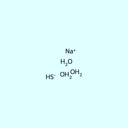 O.O.O.[Na+].[SH-]